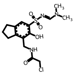 CN(C)C=NS(=O)(=O)c1cc2c(c(CNC(=O)CCl)c1O)CCC2